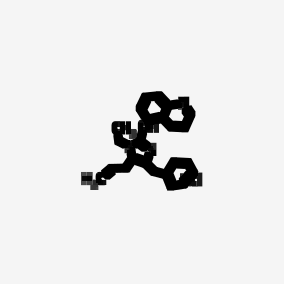 C=CCc1c(Cc2ccccc2)nc(O)n1CC.Cl.c1ccc2ncccc2c1